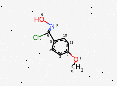 COc1ccc(C(Cl)=NO)cc1